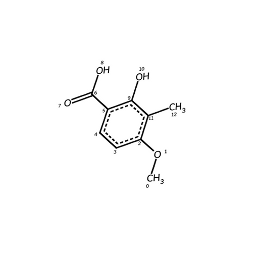 COc1ccc(C(=O)O)c(O)c1C